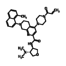 C=CC(=O)N1CCN(c2cc(C(=O)N[C@H]3COC[C@@H]3N(C)C)nc3c2CCN(c2cccc4cccc(C)c24)C3)CC1